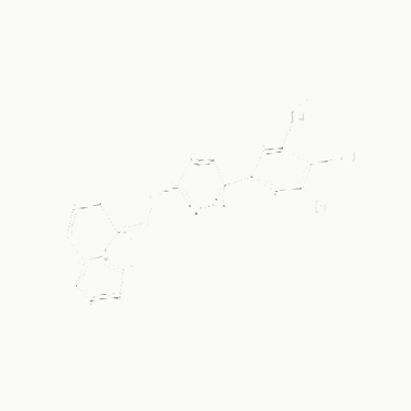 Oc1c(Br)cc(-c2ccc(OC=C3CC=Cc4ccccc43)nn2)cc1Br